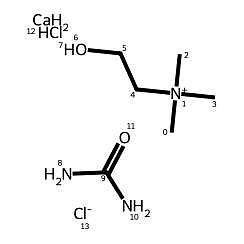 C[N+](C)(C)CCO.Cl.NC(N)=O.[CaH2].[Cl-]